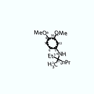 CCCC(C)(CC)Nc1ccc(OC)c(OC)c1